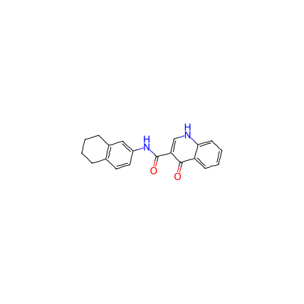 O=C(Nc1ccc2c(c1)CCCC2)c1c[nH]c2ccccc2c1=O